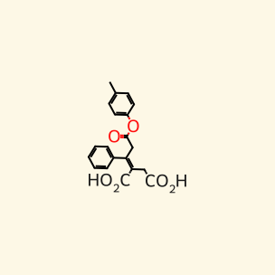 Cc1ccc(OC(=O)CC(=C(CC(=O)O)C(=O)O)c2ccccc2)cc1